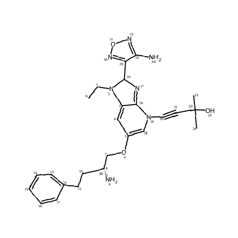 CCN1C2=CC(OC[C@H](N)CCc3ccccc3)=CN(C#CC(C)(C)O)C2=NC1c1nonc1N